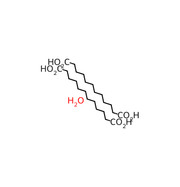 O.O=C(O)CCCCCCCCCCC(=O)O.O=C(O)CCCCCCCCCCC(=O)O